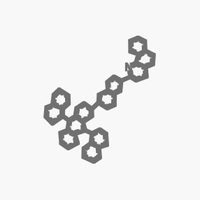 c1ccc2c(-c3c4ccccc4c(-c4cccc5ccccc45)c4cc(-c5ccc6cc(-c7ccc8ccc9ccccc9c8n7)ccc6c5)ccc34)cccc2c1